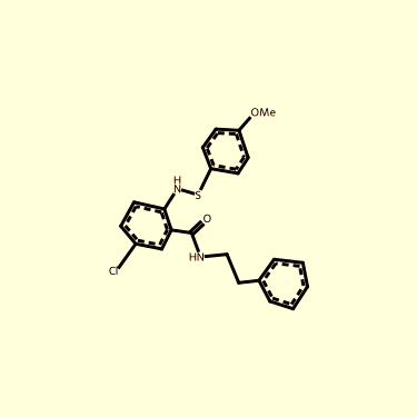 COc1ccc(SNc2ccc(Cl)cc2C(=O)NCCc2ccccc2)cc1